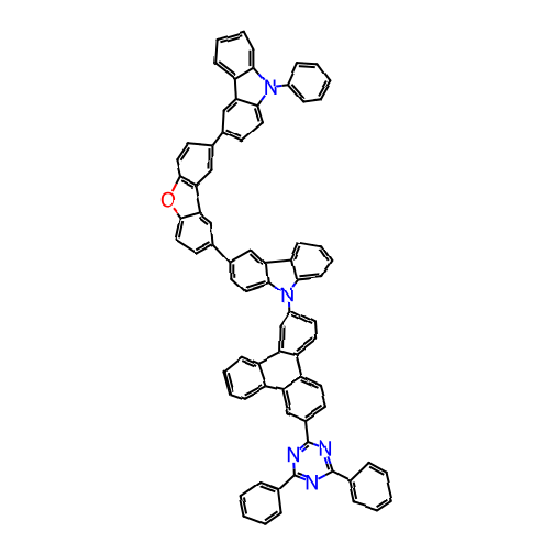 c1ccc(-c2nc(-c3ccccc3)nc(-c3ccc4c5ccc(-n6c7ccccc7c7cc(-c8ccc9oc%10ccc(-c%11ccc%12c(c%11)c%11ccccc%11n%12-c%11ccccc%11)cc%10c9c8)ccc76)cc5c5ccccc5c4c3)n2)cc1